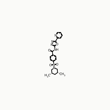 C[C@@H]1C[C@H](C)CN(S(=O)(=O)c2ccc(C(=O)Nc3nnc(-c4ccccn4)o3)cc2)C1